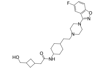 O=C(CC1CC(CO)C1)NC1CCC(CCN2CCN(c3noc4ccc(F)cc34)CC2)CC1